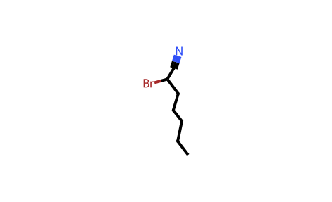 CCCCCC(Br)C#N